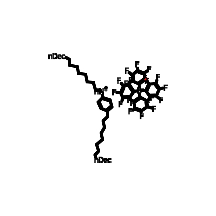 CCCCCCCCCCCCCCCCCCc1ccc([NH+](C)CCCCCCCCCCCCCCCCCC)cc1.Fc1c(F)c(F)c([B-](c2c(F)c(F)c(F)c(F)c2F)(c2c(F)c(F)c(F)c(F)c2F)c2c(F)c(F)c(F)c(F)c2F)c(F)c1F